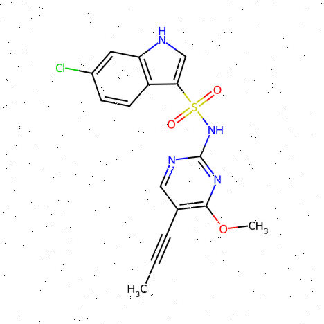 CC#Cc1cnc(NS(=O)(=O)c2c[nH]c3cc(Cl)ccc23)nc1OC